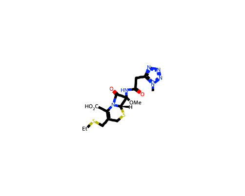 CCSCC1=C(C(=O)O)N2C(=O)C(NC(=O)Cc3nnnn3C)(OC)[C@@H]2SC1